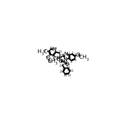 COc1ccc2c(c1)nc([S+]([O-])Cc1ncc(C)c(OC)c1C)n2S(=O)(=O)Cc1ccccc1